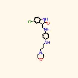 O=C1Nc2ccc(Cl)cc2/C1=C/Nc1ccc(NCCCN2CCOCC2)cc1